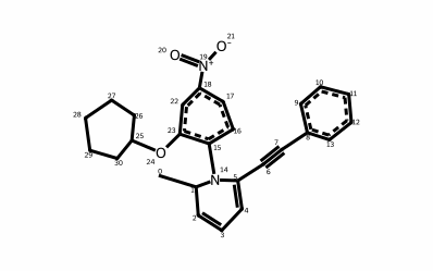 CC1C=CC=C(C#Cc2ccccc2)N1c1ccc([N+](=O)[O-])cc1OC1CCCCC1